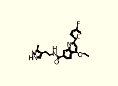 CCOc1cc(-c2ccc(F)cc2)nc2cc(C(=O)NCCc3c[nH]nc3C)ccc12